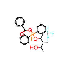 CC(O)C(C)C(CC(F)(F)F)O[PH](OC(=O)c1ccccc1)(c1ccccc1)c1ccccc1